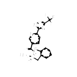 CS(=O)(Cc1ccccc1F)=NC(=O)c1ccc(-c2noc(C(F)(F)F)n2)nc1